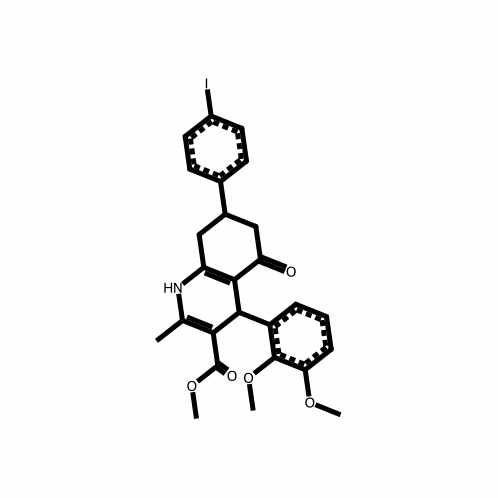 COC(=O)C1=C(C)NC2=C(C(=O)CC(c3ccc(I)cc3)C2)C1c1cccc(OC)c1OC